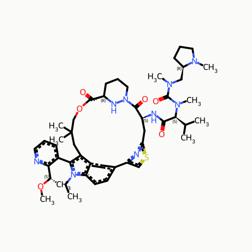 CCn1c(-c2cccnc2[C@H](C)OC)c2c3cc(ccc31)-c1csc(n1)C[C@H](NC(=O)[C@H](C(C)C)N(C)C(=O)N(C)C[C@H]1CCCN1C)C(=O)N1CCC[C@](C=O)(COCC(C)(C)C2)N1